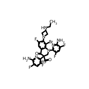 CCNC1CN(c2c(F)cc3c(c2Br)N(c2nc(N)c(F)cc2F)CC(C(=O)O)(c2nc(N)c(F)cc2F)C3=O)C1